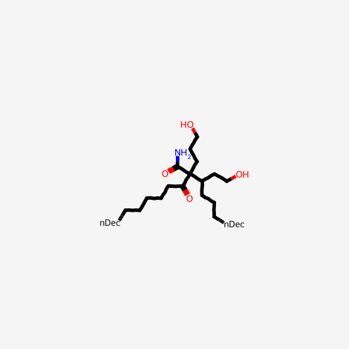 CCCCCCCCCCCCCCCC(=O)C(CCCO)(C(N)=O)C(CCO)CCCCCCCCCCCCC